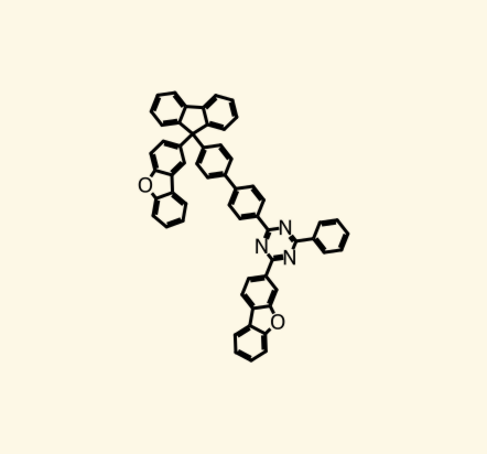 c1ccc(-c2nc(-c3ccc(-c4ccc(C5(c6ccc7oc8ccccc8c7c6)c6ccccc6-c6ccccc65)cc4)cc3)nc(-c3ccc4c(c3)oc3ccccc34)n2)cc1